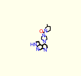 CC1CCCN(C(=O)N2CCN(c3ccnc4cnc5[nH]ccc5c34)CC2)C1